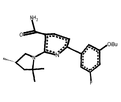 CC(C)COc1cc(F)cc(-c2ccc(C(N)=O)c(N3C[C@@H](C)CC3(C)C)n2)c1